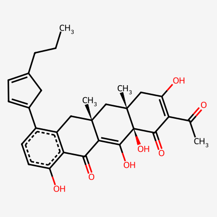 CCCC1=CC=C(c2ccc(O)c3c2C[C@]2(C)C[C@]4(C)CC(O)=C(C(C)=O)C(=O)[C@]4(O)C(O)=C2C3=O)C1